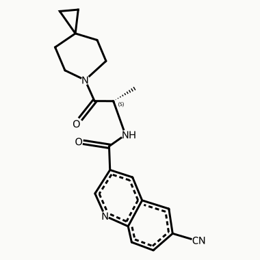 C[C@H](NC(=O)c1cnc2ccc(C#N)cc2c1)C(=O)N1CCC2(CC1)CC2